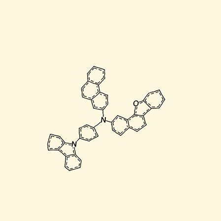 c1ccc2c(c1)ccc1cc(N(c3ccc(-n4c5ccccc5c5ccccc54)cc3)c3ccc4ccc5c6ccccc6oc5c4c3)ccc12